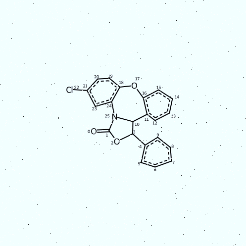 O=C1OC(c2ccccc2)C2c3ccccc3Oc3ccc(Cl)cc3N12